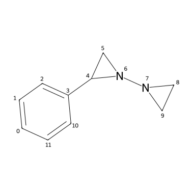 c1ccc(C2CN2N2CC2)cc1